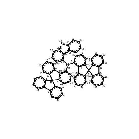 c1ccc2c(c1)-c1ccccc1C21c2ccccc2-c2c(N(c3cccc4c3-c3ccccc3C43c4ccccc4-c4ccccc43)c3cccc4sc5ccccc5c34)cccc21